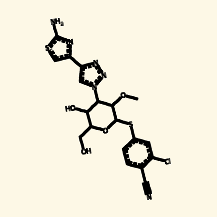 COC1C(Sc2ccc(C#N)c(Cl)c2)OC(CO)C(O)C1n1cc(-c2csc(N)n2)nn1